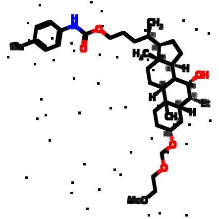 CC[C@H]1[C@@H](O)C2[C@H](CC[C@]3(C)[C@@H]([C@H](C)CCCOC(=O)Nc4ccc(C(C)(C)C)cc4)CC[C@@H]23)C2(C)CC[C@@H](OCOCCOC)C[C@@H]12